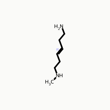 CNCC/C=C/CCN